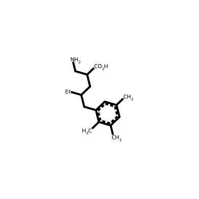 CCC(Cc1cc(C)cc(C)c1C)CC(CN)C(=O)O